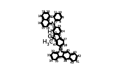 CC1(C)c2cc(N(c3ccccc3)c3cccc4ccccc34)ccc2-c2ccc(-n3c4ccccc4c4cc5ccccc5cc43)cc21